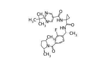 C[C@@H]1CC[C@H](C)N1C(=O)c1ccc([C@@H](C)NC(=O)C2(NC(=O)c3cnc(C(C)(C)C)nc3)CC2)c(F)c1